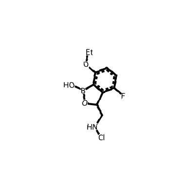 CCOc1ccc(F)c2c1B(O)OC2CNCl